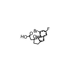 O=C(O)CC1(O)CCc2cc3cc(F)cc(Br)c3n21